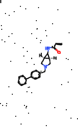 C=CC(=O)NC1[C@H]2CN(Cc3ccc(-c4ccccc4)cc3)C[C@@H]12